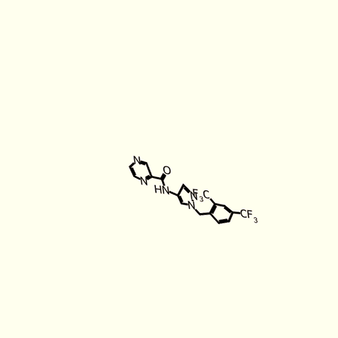 O=C(Nc1cnn(Cc2ccc(C(F)(F)F)cc2C(F)(F)F)c1)c1cnccn1